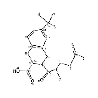 CC(=O)SCC(C)C(=O)N1Cc2cc(C(C)(C)C)ccc2C[C@H]1C(=O)O